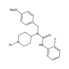 COc1ccc(CN(C(=O)Nc2ccccc2F)C2CCN(C(C)=O)CC2)cc1